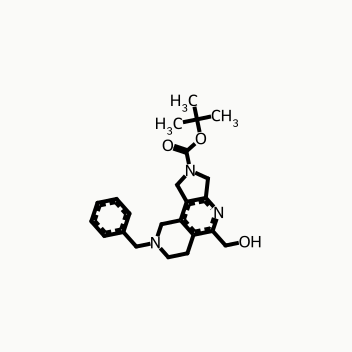 CC(C)(C)OC(=O)N1Cc2nc(CO)c3c(c2C1)CN(Cc1ccccc1)CC3